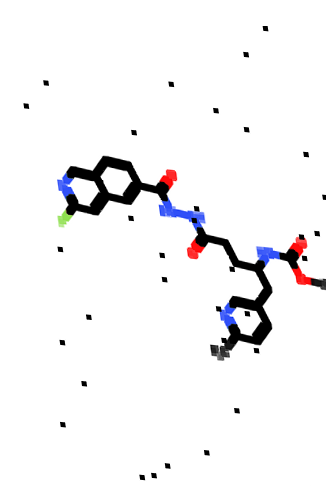 CC(C)(C)OC(=O)NC(CCC(=O)NNC(=O)c1ccc2cnc(F)cc2c1)Cc1ccc(C(F)(F)F)nc1